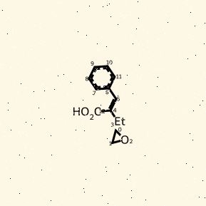 C1CO1.CCC(=Cc1ccccc1)C(=O)O